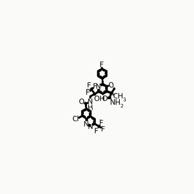 C[C@]1(C(N)=O)COc2c1cc(C(O)(CNC(=O)c1cc(Cl)c3nnc(C(F)(F)F)cc3c1)C(F)(F)F)nc2-c1ccc(F)cc1